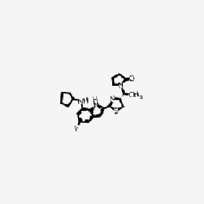 CC([C@@H]1CSC(c2cc3cc(F)cc(NC4CCCC4)c3[nH]2)=N1)N1CCCC1=O